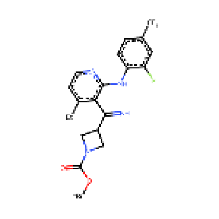 CCc1ccnc(Nc2ccc(C(F)(F)F)cc2F)c1C(=N)C1CN(C(=O)OC(C)(C)C)C1